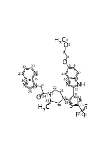 COCCOc1ccc2[nH]c(-c3nc(C(F)(F)F)sc3N3CCN(C(=O)Cn4cnc5cccnc54)C(C)C3)nc2c1